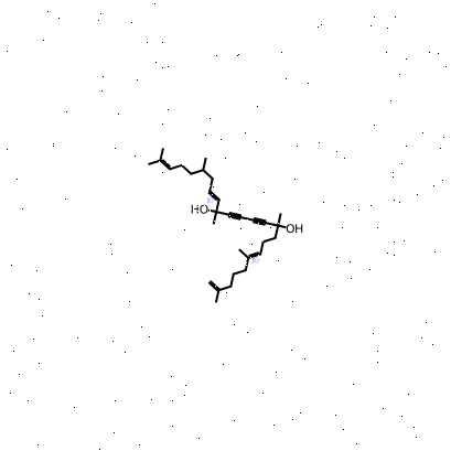 C=C(C)CCC/C(C)=C/CCC(C)(O)C#CC#CC(C)(O)/C=C/CC(C)CCC=C(C)C